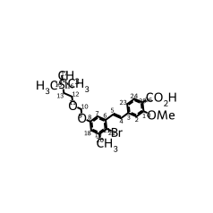 COc1cc(/C=C/c2cc(OCOCC[Si](C)(C)C)cc(C)c2Br)ccc1C(=O)O